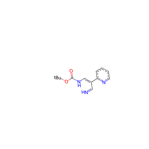 CC(C)(C)OC(=O)N/C=C(\C=N)c1ccccn1